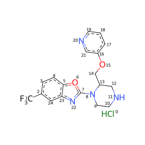 Cl.FC(F)(F)c1ccc2oc(N3CCNCC3COc3cccnc3)nc2c1